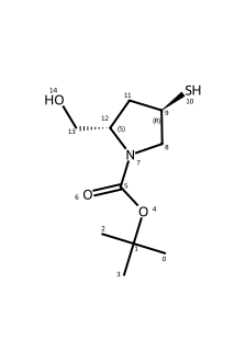 CC(C)(C)OC(=O)N1C[C@H](S)C[C@H]1CO